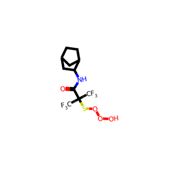 O=C(NC1CC2CCC1C2)C(SOOO)(C(F)(F)F)C(F)(F)F